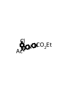 CCOC(=O)N1CCC(N2CCC3(CC2)CN(C(C)=O)c2ccc(Cl)cc23)CC1